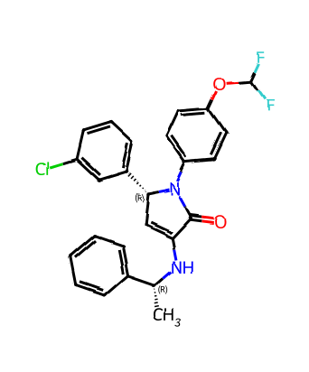 C[C@@H](NC1=C[C@H](c2cccc(Cl)c2)N(c2ccc(OC(F)F)cc2)C1=O)c1ccccc1